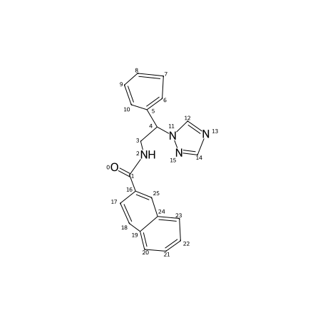 O=C(NCC(c1ccccc1)n1cncn1)c1ccc2ccccc2c1